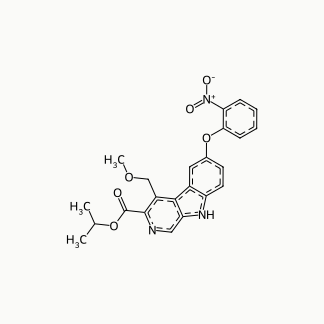 COCc1c(C(=O)OC(C)C)ncc2[nH]c3ccc(Oc4ccccc4[N+](=O)[O-])cc3c12